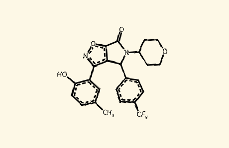 Cc1ccc(O)c(-c2noc3c2C(c2ccc(C(F)(F)F)cc2)N(C2CCOCC2)C3=O)c1